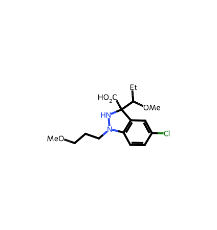 CCC(OC)C1(C(=O)O)NN(CCCOC)c2ccc(Cl)cc21